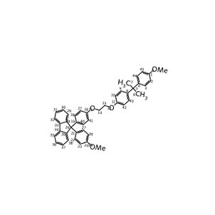 COc1ccc(C(C)(C)c2ccc(OCCOc3ccc(C4(c5ccc(OC)cc5)c5ccccc5-c5ccccc54)cc3)cc2)cc1